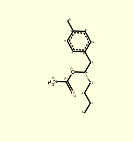 CCCC[C@@H](Cc1ccc(C)cc1)OC(N)=O